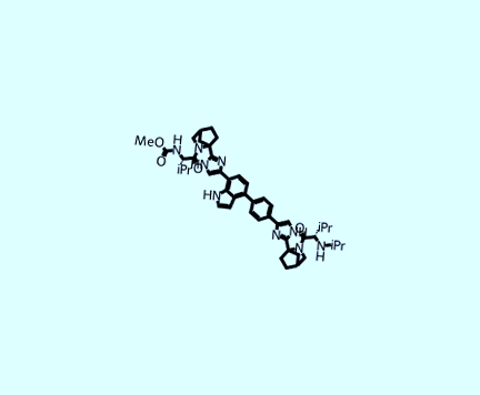 COC(=O)N[C@H](C(=O)N1CC2CCC1(c1nc(-c3ccc(-c4ccc(-c5c[nH]c(C67CCC(CN6C(=O)[C@@H](NC(C)C)C(C)C)C7)n5)cc4)c4cc[nH]c34)c[nH]1)C2)C(C)C